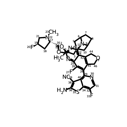 CC(O)CN1CC2CCC(C1)N2c1nc(OC[C@@H]2C[C@@H](F)CN2C)nc2c(F)c(-c3ncc(F)c4sc(N)c(C#N)c34)c3c(c12)COC3